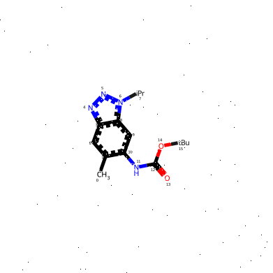 Cc1cc2nnn(C(C)C)c2cc1NC(=O)OC(C)(C)C